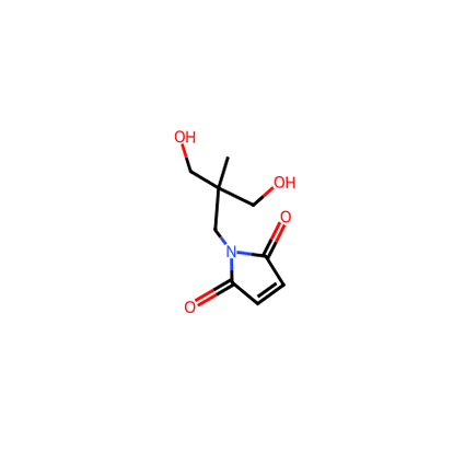 CC(CO)(CO)CN1C(=O)C=CC1=O